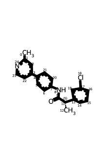 Cc1cc(-c2ccc(NC(=O)[C@@H](C)c3cccc(Cl)c3)cc2)ccn1